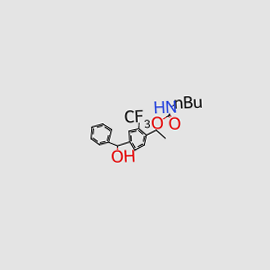 CCCCNC(=O)OC(C)c1ccc(C(O)c2ccccc2)cc1C(F)(F)F